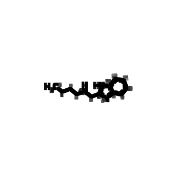 CCCCNCc1nc2ccccc2[nH]1